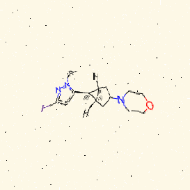 CC(C)n1nc(I)cc1[C@H]1[C@@H]2CC(N3CCOCC3)C[C@@H]21